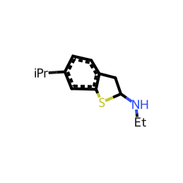 CCNC1Cc2ccc(C(C)C)cc2S1